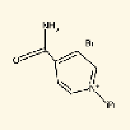 CC(C)[n+]1ccc(C(N)=O)cc1.[Br-]